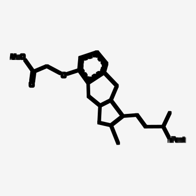 CCCCCC(C)CCC1C(C)CC2Cc3c(cccc3OCC(=O)OC)CC21